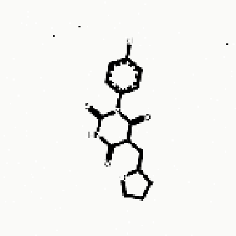 O=C1NC(=S)N(c2ccc(Cl)cc2)C(=O)C1CC1CCCO1